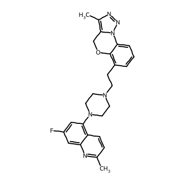 Cc1ccc2c(N3CCN(CCc4cccc5c4OCc4c(C)nnn4-5)CC3)cc(F)cc2n1